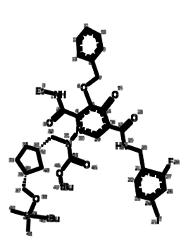 CCNC(=O)c1c(OCc2ccccc2)c(=O)c(C(=O)NCc2ccc(F)cc2F)cn1N(C[C@H]1CC[C@@H](CO[Si](C)(C)C(C)(C)C)C1)C(=O)OC(C)(C)C